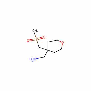 CS(=O)(=O)CC1(CN)CCOCC1